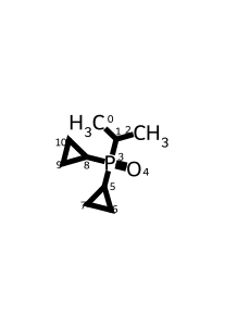 CC(C)P(=O)(C1CC1)C1CC1